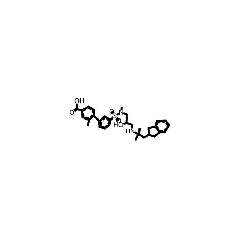 Cc1cc(C(=O)O)ccc1-c1cccc(S(=O)(=O)N(C)CC(O)CNC(C)(C)CC2Cc3ccccc3C2)c1